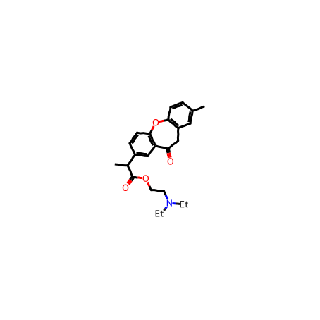 CCN(CC)CCOC(=O)C(C)c1ccc2c(c1)C(=O)Cc1cc(C)ccc1O2